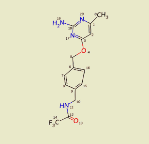 Cc1cc(OCc2ccc(CNC(=O)C(F)(F)F)cc2)nc(N)n1